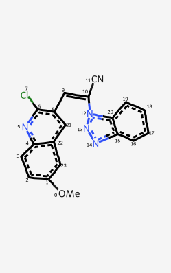 COc1ccc2nc(Cl)c(C=C(C#N)n3nnc4ccccc43)cc2c1